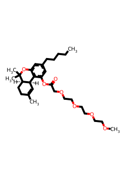 CCCCCc1cc(OC(=O)COCCOCCOCCOC)c2c(c1)OC(C)(C)[C@@H]1CCC(C)=C[C@H]21